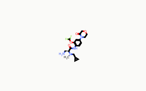 CN(CC1CC1)[C@@H](CN)C(=O)Nc1ccc(N2CCOCC2=O)cc1OC(F)F